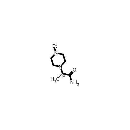 CCN1CCN([C@@H](C)C(N)=O)CC1